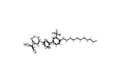 CCCCCCCCCCCc1ccc(-c2noc([C@@H]3CCCN(C(=O)O)C3)n2)cc1C(F)(F)F